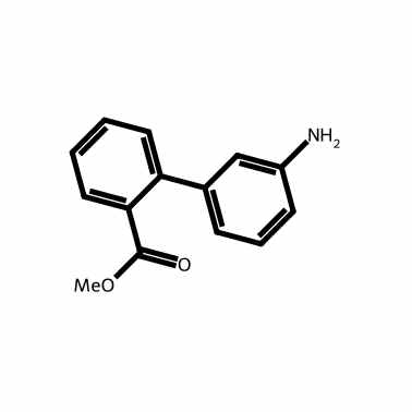 COC(=O)c1ccccc1-c1cccc(N)c1